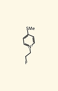 CSc1cc[n+](CCF)cc1